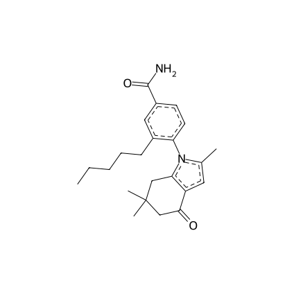 CCCCCc1cc(C(N)=O)ccc1-n1c(C)cc2c1CC(C)(C)CC2=O